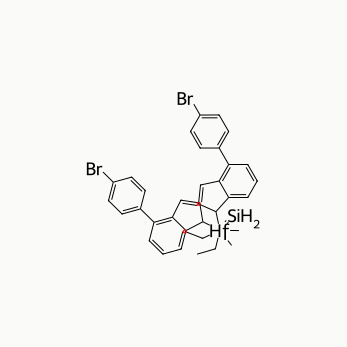 C[CH2][Hf]([CH3])([CH3])(=[SiH2])([CH2]C)([CH]1C=Cc2c(-c3ccc(Br)cc3)cccc21)[CH]1C=Cc2c(-c3ccc(Br)cc3)cccc21